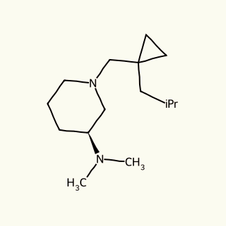 CC(C)CC1(CN2CCC[C@H](N(C)C)C2)CC1